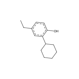 CCc1ccc(O)c(C2CCCCC2)c1